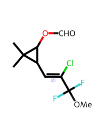 COC(F)(F)/C(Cl)=C/C1C(OC=O)C1(C)C